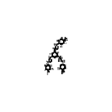 Fc1ccc(COCc2cc(COCc3ccc(F)cc3)cc(COCc3ccc(F)cc3)c2)cc1